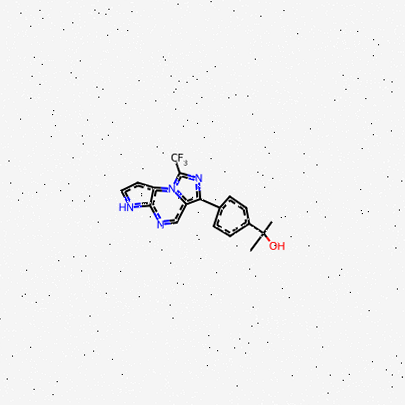 CC(C)(O)c1ccc(-c2nc(C(F)(F)F)n3c2cnc2[nH]ccc23)cc1